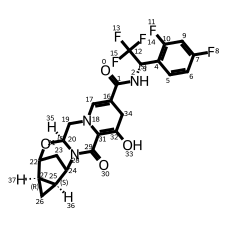 O=C(N[C@@H](c1ccc(F)cc1F)C(F)(F)F)C1=CN2C[C@@H]3OC4CC([C@H]5C[C@@H]45)N3C(=O)C2=C(O)C1